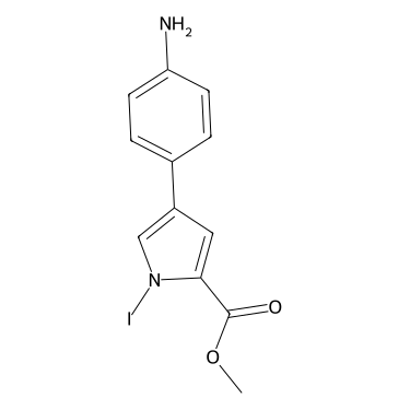 COC(=O)c1cc(-c2ccc(N)cc2)cn1I